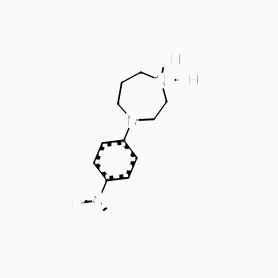 C[N+]1(C)CCCN(c2ccc([N+](=O)[O-])cc2)CC1